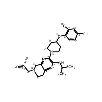 CC(C)Nc1nc2c(nc1N1CCC(Oc3ccc(F)cc3F)CC1)CN(C[SH](=O)=O)CC2